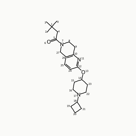 CC(C)(C)CC(=O)N1CCc2nc(OC3CCN(C4CCC4)CC3)ccc2C1